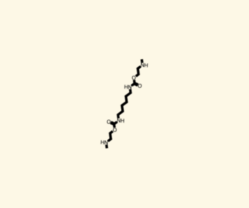 CNCCOC(=O)NCCCCCCNC(=O)OCCNC